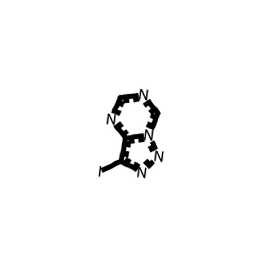 Ic1nnn2cncnc12